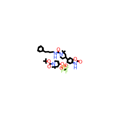 CC(C)(C)OC(=O)N1CC=C(OS(=O)(=O)C(F)(F)F)CC1(C)C.CC1(C)CC(c2ccc3[nH]c(=O)oc3c2)CCN1C(=O)NCCCCc1ccccc1